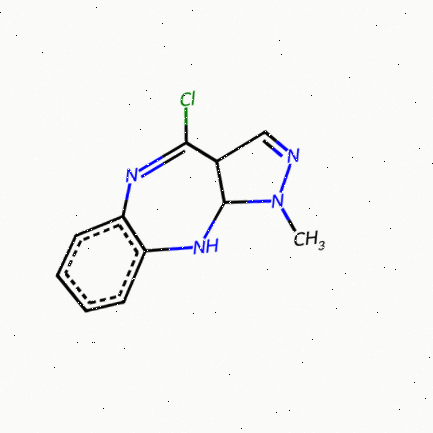 CN1N=CC2C(Cl)=Nc3ccccc3NC21